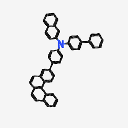 c1ccc(-c2ccc(N(c3ccc(-c4ccc5c(ccc6ccc7ccccc7c65)c4)cc3)c3ccc4ccccc4c3)cc2)cc1